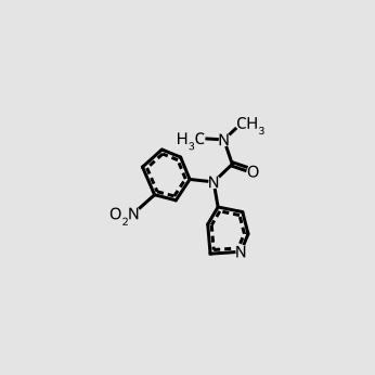 CN(C)C(=O)N(c1ccncc1)c1cccc([N+](=O)[O-])c1